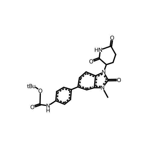 Cn1c(=O)n(C2CCC(=O)NC2=O)c2ccc(-c3ccc(NC(=O)OC(C)(C)C)cc3)cc21